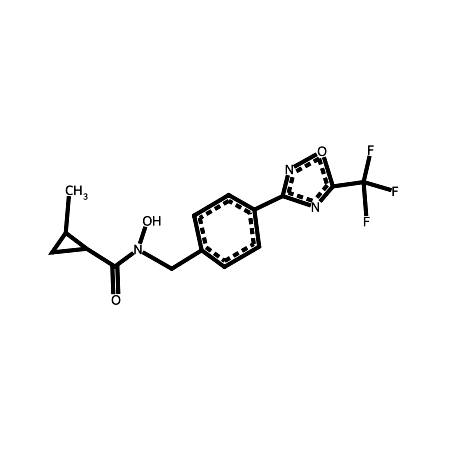 CC1CC1C(=O)N(O)Cc1ccc(-c2noc(C(F)(F)F)n2)cc1